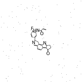 C=CC(=O)Nc1cc(C2=NC=c3ccc4c(c3C2)N=C2CCC(=O)C=42)ccc1F